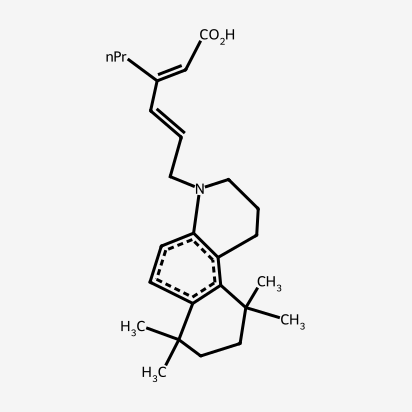 CCCC(C=CCN1CCCc2c1ccc1c2C(C)(C)CCC1(C)C)=CC(=O)O